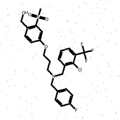 CS(=O)(=O)c1cc(OCCCN(Cc2ccc(F)cc2)Cc2cccc(C(F)(F)F)c2Cl)ccc1CO